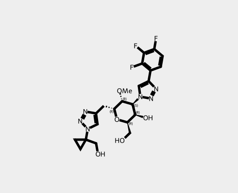 CO[C@@H]1[C@@H](n2cc(-c3ccc(F)c(F)c3F)nn2)[C@@H](O)[C@@H](CO)O[C@@H]1Cc1cn(C2(CO)CC2)nn1